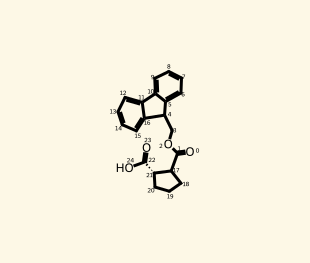 O=C(OCC1c2ccccc2-c2ccccc21)C1CCC[C@@H]1C(=O)O